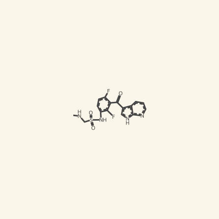 CNCS(=O)(=O)Nc1ccc(F)c(C(=O)c2c[nH]c3ncccc23)c1F